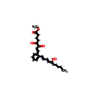 CCCCC[C@@H](O)/C=C/C=C/c1ccccc1C=CC(O)C(O)CCCC(=O)OC